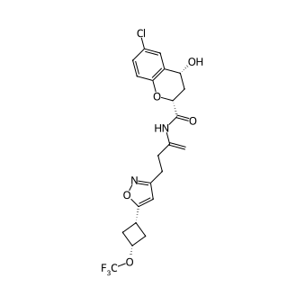 C=C(CCc1cc([C@H]2C[C@@H](OC(F)(F)F)C2)on1)NC(=O)[C@H]1C[C@@H](O)c2cc(Cl)ccc2O1